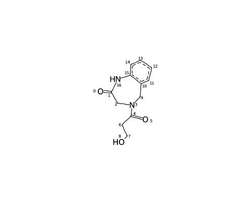 O=C1CN(C(=O)CCO)Cc2ccccc2N1